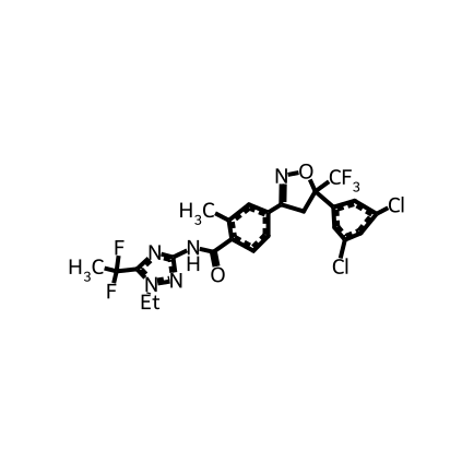 CCn1nc(NC(=O)c2ccc(C3=NOC(c4cc(Cl)cc(Cl)c4)(C(F)(F)F)C3)cc2C)nc1C(C)(F)F